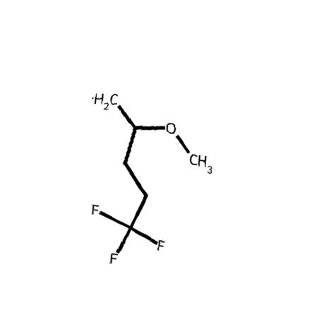 [CH2]C(CCC(F)(F)F)OC